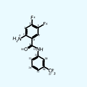 Nc1cc(F)c(F)cc1C(=O)Nc1cccc(C(F)(F)F)c1